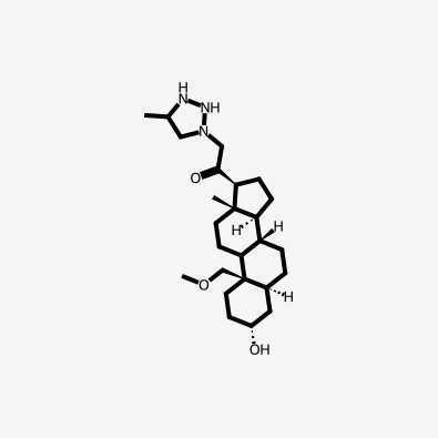 COC[C@]12CC[C@@H](O)C[C@@H]1CC[C@@H]1C2CC[C@]2(C)[C@@H](C(=O)CN3CC(C)NN3)CC[C@@H]12